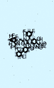 Cn1nc(NS(C)(=O)=O)c2c(Cl)ccc(-n3c([C@H](Cc4cc(F)cc(F)c4)NC(=O)Cn4nc(C(F)F)c5c4C(F)(F)[C@@H]4C[C@H]54)nc4cc(-c5c(Cl)cccc5Cl)ccc4c3=O)c21